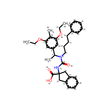 CCOc1cc(C(C)N(CCCCc2ccccc2)C(=O)NC2(C(=O)O)Cc3ccccc3C2)cc(OCC)c1C